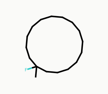 CC1(F)CCCCCCCCCCCCCCC1